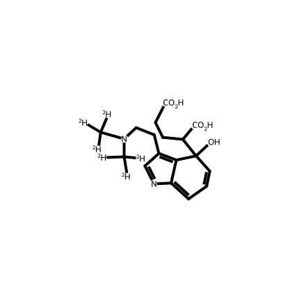 [2H]C([2H])([2H])N(CCC1=C2C(=CC=CC2(O)C(CCC(=O)O)C(=O)O)N=C1)C([2H])([2H])[2H]